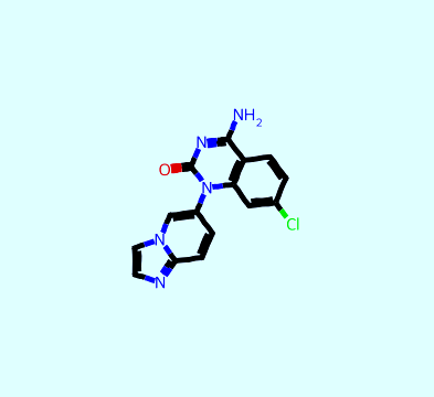 Nc1nc(=O)n(-c2ccc3nccn3c2)c2cc(Cl)ccc12